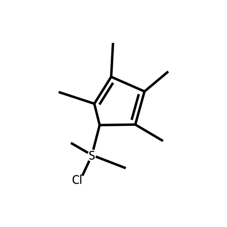 CC1=C(C)C(S(C)(C)Cl)C(C)=C1C